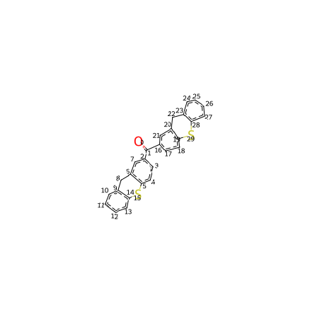 O=C(c1ccc2c(c1)Cc1ccccc1S2)c1ccc2c(c1)Cc1ccccc1S2